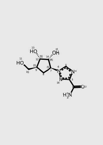 NC(=O)c1ncn([C@H]2C[C@@H](CO)[C@H](O)[C@@H]2O)n1